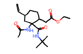 C=CC1CCC(CC(=O)OCC)C(NC(C)=O)(C(=O)NC(C)(C)C)C1